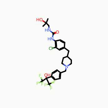 CC(C)(O)CNC(=O)Nc1ccc(CC2CCN(Cc3ccc(C(O)(C(F)(F)F)C(F)(F)F)cc3)CC2)cc1Cl